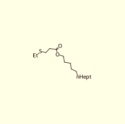 [CH2]CSCCC(=O)OCCCCCCCCCCCC